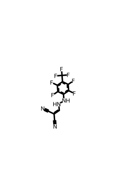 N#CC(C#N)=CNNc1c(F)c(F)c(C(F)(F)F)c(F)c1F